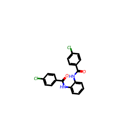 O=C(Nc1ccccc1NC(=O)c1ccc(Cl)cc1)c1ccc(Cl)cc1